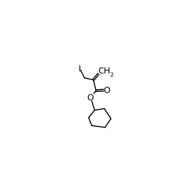 C=C(CI)C(=O)OC1CCCCC1